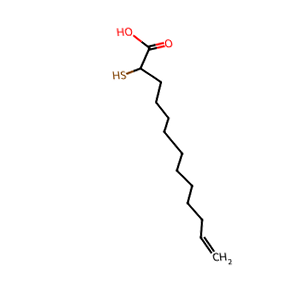 C=CCCCCCCCCCC(S)C(=O)O